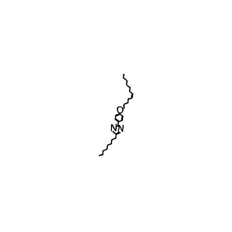 CCCCCC/C=C\CCCCOc1ccc(-c2ncc(CCCCCCCC)cn2)cc1